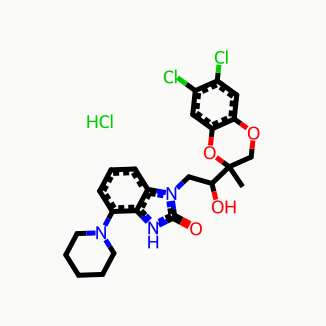 CC1(C(O)Cn2c(=O)[nH]c3c(N4CCCCC4)cccc32)COc2cc(Cl)c(Cl)cc2O1.Cl